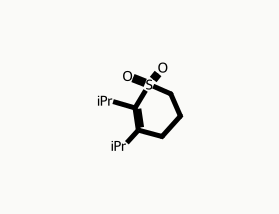 CC(C)C1=C(C(C)C)S(=O)(=O)CCC1